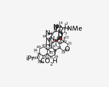 CN[C@@](C)(CO[C@H]1[C@H](n2ncnc2C2=NCCN2)C[C@@]23COC[C@]1(C)[C@@H]2CC[C@H]1C3=CC[C@@]2(C)[C@H](C(=O)O)[C@@](C)([C@H](C)C(C)C)CC[C@]12C)C(C)C